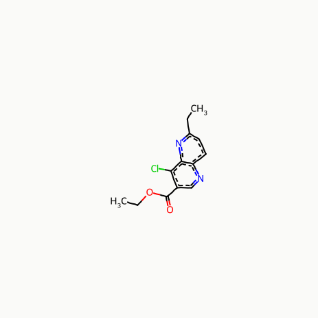 CCOC(=O)c1cnc2ccc(CC)nc2c1Cl